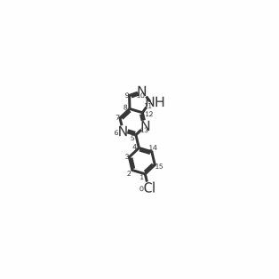 Clc1ccc(-c2ncc3cn[nH]c3n2)cc1